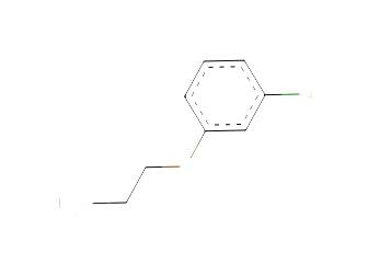 O=C(O)CCSc1cccc(Br)c1